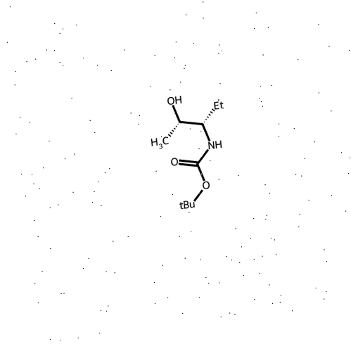 CC[C@H](NC(=O)OC(C)(C)C)[C@H](C)O